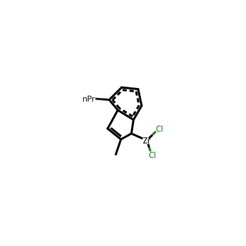 CCCc1cccc2c1C=C(C)[CH]2[Zr]([Cl])[Cl]